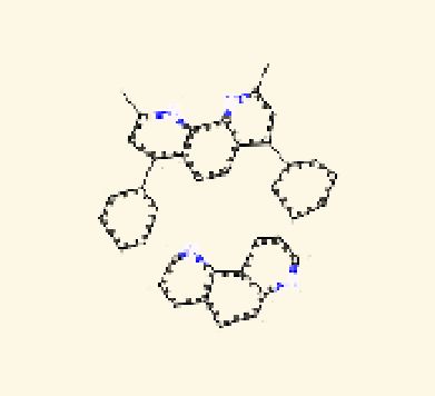 Cc1cc(-c2ccccc2)c2ccc3c(-c4ccccc4)cc(C)nc3c2n1.c1cnc2c(c1)ccc1ncccc12